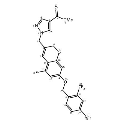 COC(=O)c1cnn(CC2=Cc3c(F)cc(OCc4ccc(C(F)(F)F)cc4C(F)(F)F)cc3OC2)c1